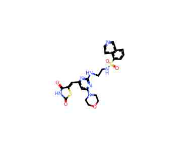 O=C1NC(=O)/C(=C/c2cc(N3CCOCC3)nc(NCCNS(=O)(=O)c3cccc4cnccc34)n2)S1